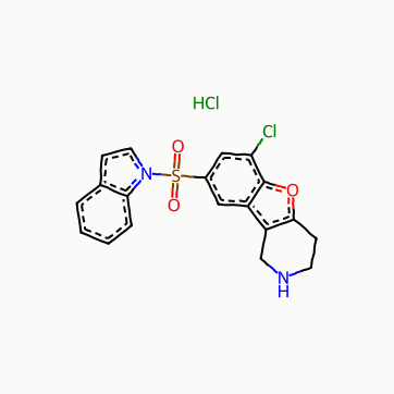 Cl.O=S(=O)(c1cc(Cl)c2oc3c(c2c1)CNCC3)n1ccc2ccccc21